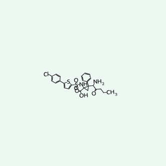 CCCC(=O)C(N)C1(c2ccccc2)CC1(NS(=O)(=O)c1ccc(-c2ccc(Cl)cc2)s1)C(=O)O